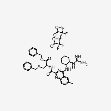 Cc1ccc2nc(C(=O)NC(CSCc3ccccc3)C(=O)OCc3ccccc3)nc(NC3CCCCC3NC(=N)N)c2c1.O=C(O)C(F)(F)F.O=C(O)C(F)(F)F